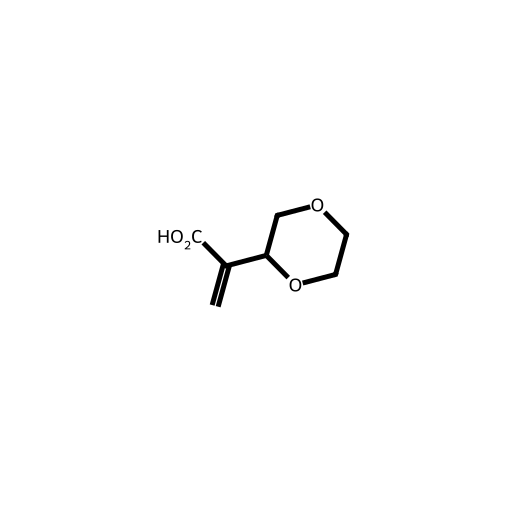 C=C(C(=O)O)C1COCCO1